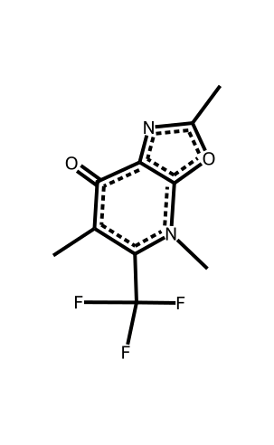 Cc1nc2c(=O)c(C)c(C(F)(F)F)n(C)c2o1